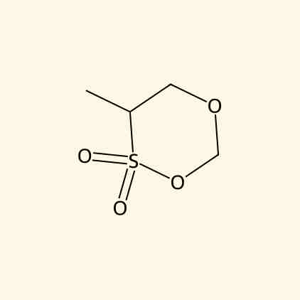 CC1COCOS1(=O)=O